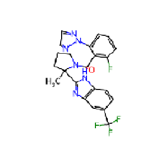 CC1(c2nc3cc(C(F)(F)F)ccc3[nH]2)CCCN1C(=O)c1c(F)cccc1-n1nccn1